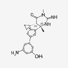 CN1C(=N)N[C@](C)(c2cc(-c3cc(N)cc(O)c3)cs2)[C@H](C2CC2)C1=O